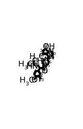 COc1ccc(C(CNC(C)C)C(=O)N2CCN(c3ncnc4c3[C@H](C)C[C@H]4O)CC2)cc1F